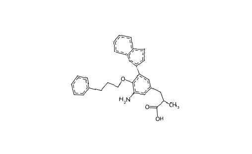 CC(Cc1cc(N)c(OCCCc2ccccc2)c(-c2ccc3ccccc3c2)c1)C(=O)O